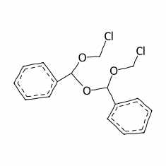 ClCOC(OC(OCCl)c1ccccc1)c1ccccc1